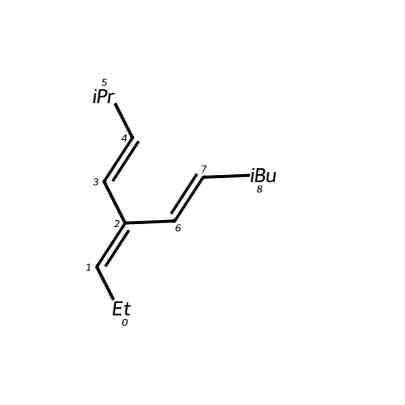 CCC=C(C=CC(C)C)C=CC(C)CC